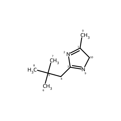 CC1=NC(CC(C)(C)C)=NC1